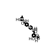 CC(C)C[C@@H](CO)NC(=O)c1ccc(N2CCC(NC[C@H](O)c3ccc(O)c(NS(C)(=O)=O)c3)CC2)cc1